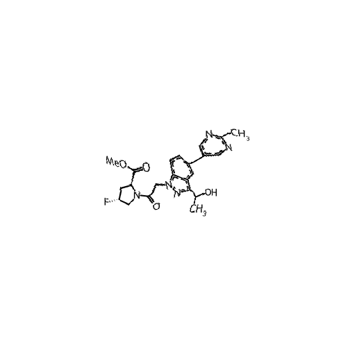 COC(=O)[C@@H]1C[C@@H](F)CN1C(=O)Cn1nc(C(C)O)c2cc(-c3cnc(C)nc3)ccc21